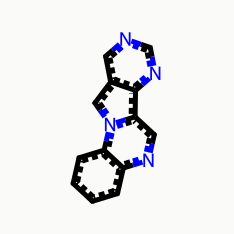 c1ccc2c(c1)ncc1c3ncncc3cn21